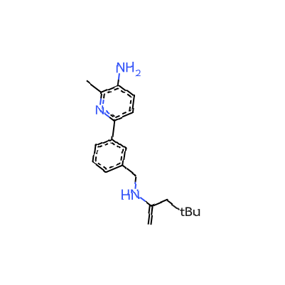 C=C(CC(C)(C)C)NCc1cccc(-c2ccc(N)c(C)n2)c1